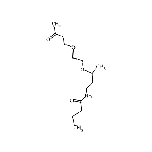 CCCC(=O)NCCC(C)OCCOCCC(C)=O